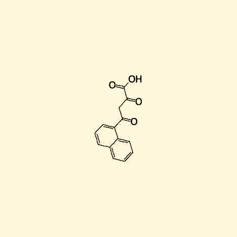 O=C(O)C(=O)CC(=O)c1cccc2ccccc12